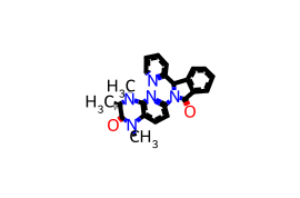 C[C@@H]1C(=O)N(C)c2ccc(N3C(=O)c4ccccc4C3c3ccccn3)nc2N1C